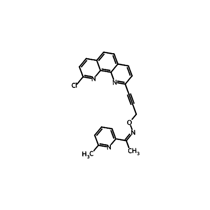 CC(=NOCC#Cc1ccc2ccc3ccc(Cl)nc3c2n1)c1cccc(C)n1